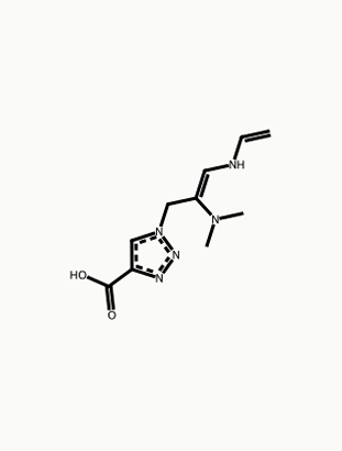 C=CN/C=C(/Cn1cc(C(=O)O)nn1)N(C)C